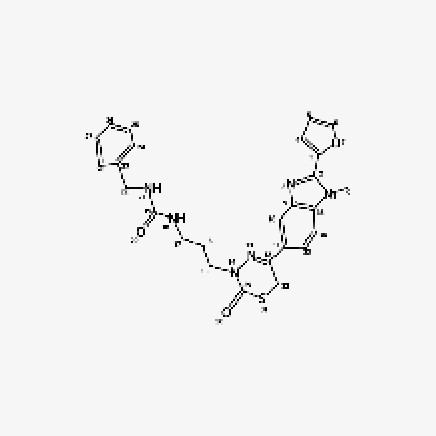 Cn1c(-c2ccco2)nc2cc(C3=NN(CCCNC(=O)NCc4ccccc4)C(=O)SC3)ccc21